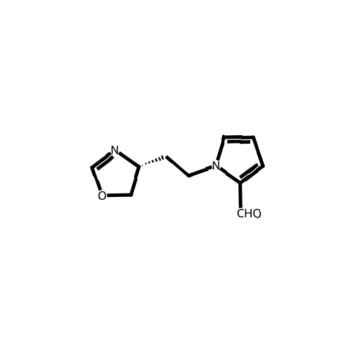 O=Cc1cccn1CC[C@@H]1COC=N1